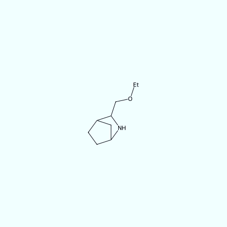 CCOCC1NC2CCC1C2